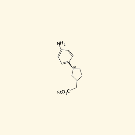 CCOC(=O)CC1CC[C@H](c2ccc(N)cc2)C1